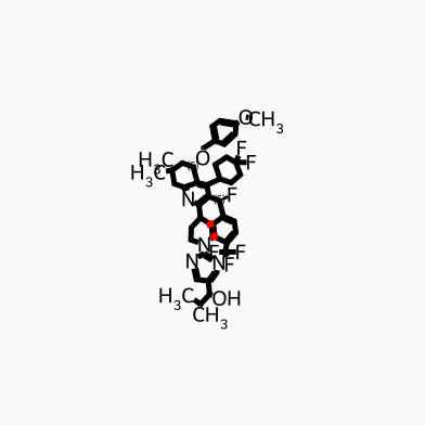 COc1ccc(CO[C@H]2CC(C)(C)Cc3nc(C4CCN(c5ncc(C(O)C(C)C)cn5)CC4)c([C@@H](F)c4ccc(C(F)(F)F)cc4)c(C4CCC(F)(F)CC4)c32)cc1